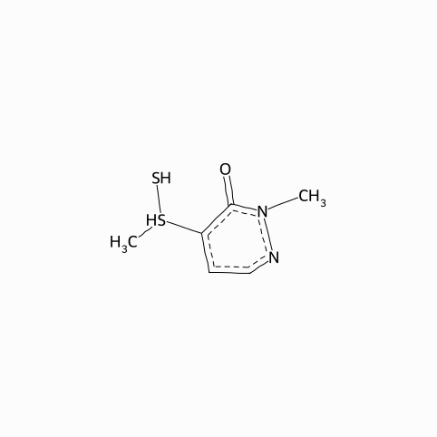 Cn1nccc([SH](C)S)c1=O